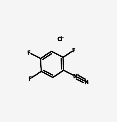 N#[N+]c1cc(F)c(F)cc1F.[Cl-]